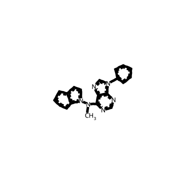 CN(c1ncnc2c1ncn2-c1ccccc1)n1ccc2ccccc21